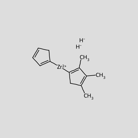 CC1=C(C)C(C)=[C]([Zr+2][C]2=CC=CC2)C1.[H-].[H-]